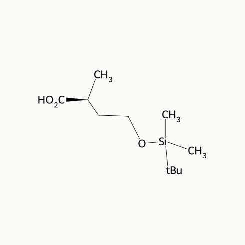 C[C@@H](CCO[Si](C)(C)C(C)(C)C)C(=O)O